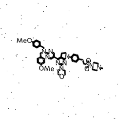 COc1ccc(CN(Cc2ccc(OC)cc2)c2ncc(-c3nc(N4CCOCC4)nc4c3CCN4c3ccc(CCS(=O)(=O)N4CCN(C)CC4)cc3)cn2)cc1